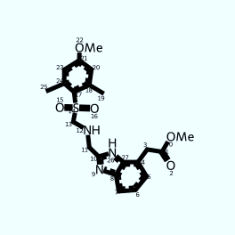 COC(=O)Cc1cccc2nc(CNCS(=O)(=O)c3c(C)cc(OC)cc3C)[nH]c12